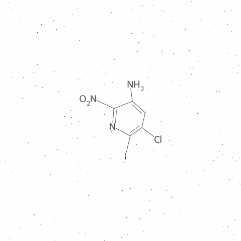 Nc1cc(Cl)c(I)nc1[N+](=O)[O-]